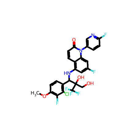 COc1ccc(C(Nc2cc(F)cc3c2ccc(=O)n3-c2ccc(F)nc2)C(O)(CO)C(F)(F)F)c(Cl)c1F